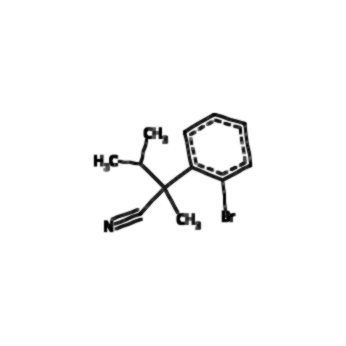 CC(C)C(C)(C#N)c1ccccc1Br